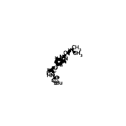 CN(C)CCOc1ncc2cc(OC/C(=C/F)CNC(=O)OC(C)(C)C)ccc2n1